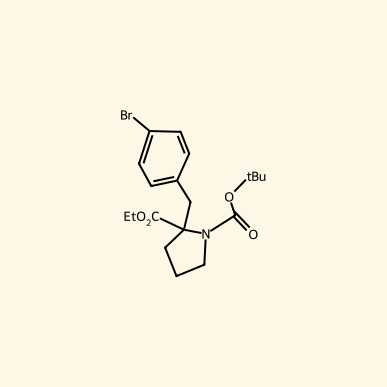 CCOC(=O)C1(Cc2ccc(Br)cc2)CCCN1C(=O)OC(C)(C)C